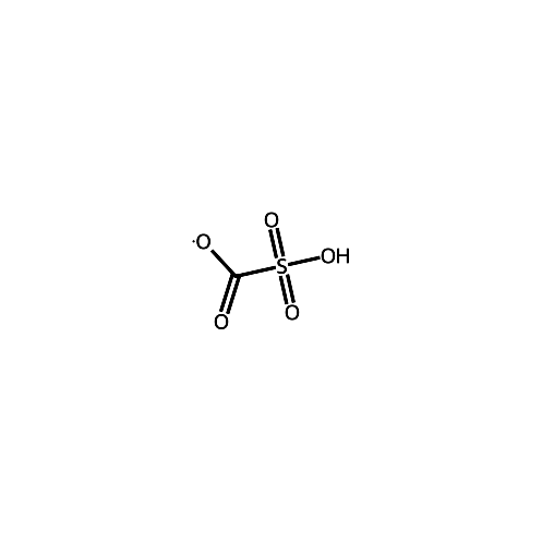 [O]C(=O)S(=O)(=O)O